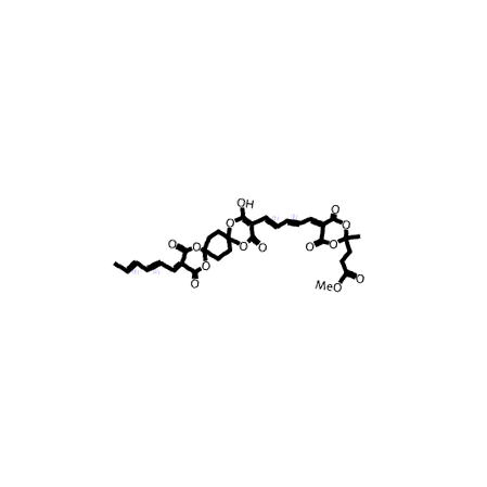 C/C=C/C=C/C=C1C(=O)OC2(CCC3(CC2)OC(=O)C(/C=C/C=C/C=C2C(=O)OC(C)(CCC(=O)OC)OC2=O)=C(O)O3)OC1=O